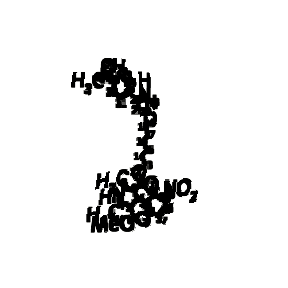 COC(=O)C1=C(C)NC(C)=C(C(=O)OCCCCCCOc2cc(-c3ccc(N(C)C)cc3)[nH]n2)C1c1cccc([N+](=O)[O-])c1